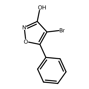 Oc1noc(-c2ccccc2)c1Br